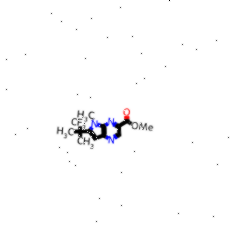 COC(=O)c1cnc2cc(C(C)(C)C(F)(F)F)n(C)c2n1